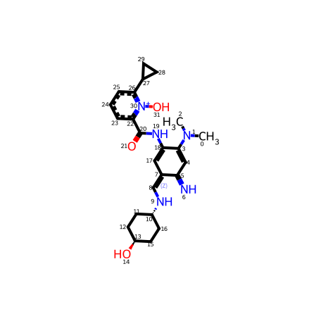 CN(C)C1=CC(=N)/C(=C\N[C@H]2CC[C@H](O)CC2)C=C1NC(=O)c1cccc(C2CC2)[n+]1O